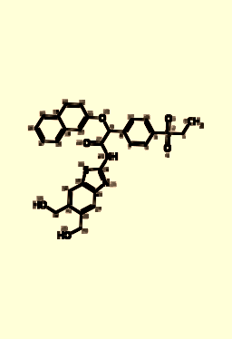 CCS(=O)(=O)c1ccc(C(Oc2ccc3ccccc3c2)C(=O)Nc2nc3cc(CO)c(CO)cc3s2)cc1